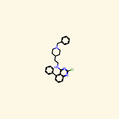 Clc1nc(NCCC2CCN(Cc3ccccc3)CC2)c2c(-c3ccccc3)cccc2n1